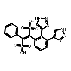 O=S(=O)(O)C(=C(c1cccc(-c2c[nH]nn2)c1-c1c[nH]nn1)S(=O)(=O)O)c1ccccc1